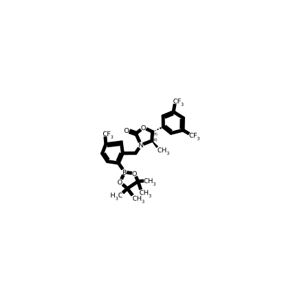 C[C@@H]1[C@@H](c2cc(C(F)(F)F)cc(C(F)(F)F)c2)OC(=O)N1Cc1cc(C(F)(F)F)ccc1B1OC(C)(C)C(C)(C)O1